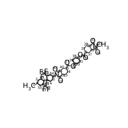 Cc1ccc(-c2ccc(N3C(=O)C4CCC(C(=O)Oc5ccc(OC(=O)C6CCC7C(=O)N(C)C(=O)C7C6)cc5)CC4C3=O)cc2C(F)(F)F)c(C(F)(F)F)c1